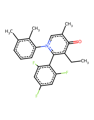 CCc1c(-c2c(F)cc(F)cc2F)n(-c2cccc(C)c2C)cc(C)c1=O